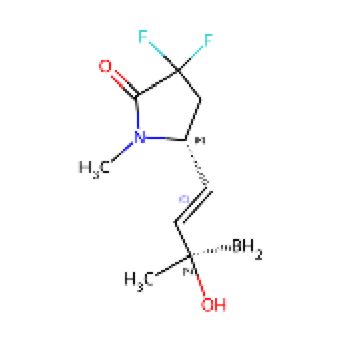 B[C@@](C)(O)/C=C/[C@H]1CC(F)(F)C(=O)N1C